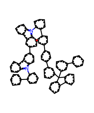 c1ccc(-c2cccc(C3(c4cccc(-c5ccc(-c6ccc(-c7ccccc7-n7c8ccccc8c8cc(-c9ccc%10c(c9)c9ccccc9n%10-c9ccccc9-c9ccccc9)ccc87)cc6)cc5)c4)c4ccccc4-c4ccccc43)c2)cc1